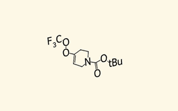 CC(C)(C)OC(=O)N1CC=C(OOC(F)(F)F)CC1